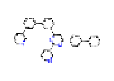 c1ccc(-c2ccc(-c3cc(-c4cccc(-c5cccc(-c6cccnc6)c5)c4)nc(-c4cccnc4)n3)cc2)cc1